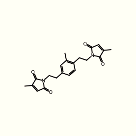 CC1=CC(=O)N(CCc2ccc(CCN3C(=O)C=C(C)C3=O)c(C)c2)C1=O